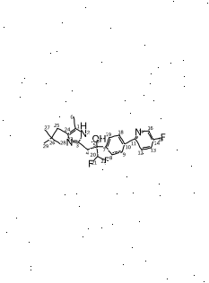 Cc1[nH]c(CC(O)(c2ccc(-c3ccc(F)cn3)cc2)C(F)F)nc1CC(C)(C)C